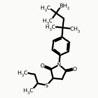 BC(C)(C)CC(C)(C)c1ccc(N2C(=O)CC(SC(C)CC)C2=O)cc1